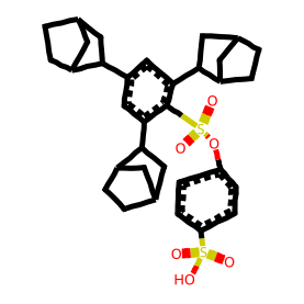 O=S(=O)(O)c1ccc(OS(=O)(=O)c2c(C3CC4CCC3C4)cc(C3CC4CCC3C4)cc2C2CC3CCC2C3)cc1